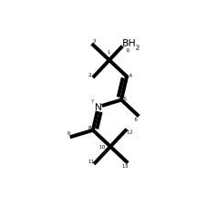 BC(C)(C)/C=C(C)\N=C(\C)C(C)(C)C